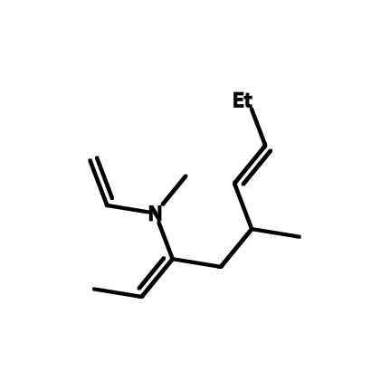 C=CN(C)/C(=C\C)CC(C)/C=C/CC